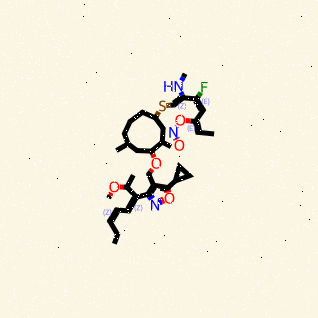 C\C=C(/C=C(F)\C(=C\SC1CCCC(C)CC(OCc2c(/C(=C/C=C\CC)C(C)OC)noc2C2CC2)C(C)C1)NC)ON=O